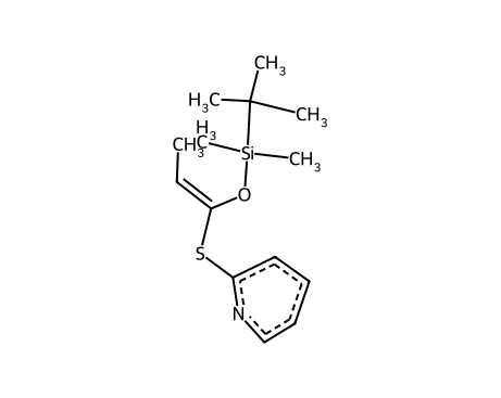 CC=C(O[Si](C)(C)C(C)(C)C)Sc1ccccn1